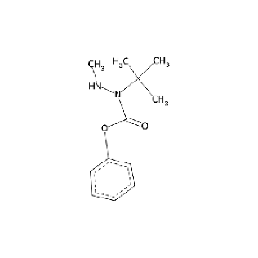 CNN(C(=O)Oc1ccccc1)C(C)(C)C